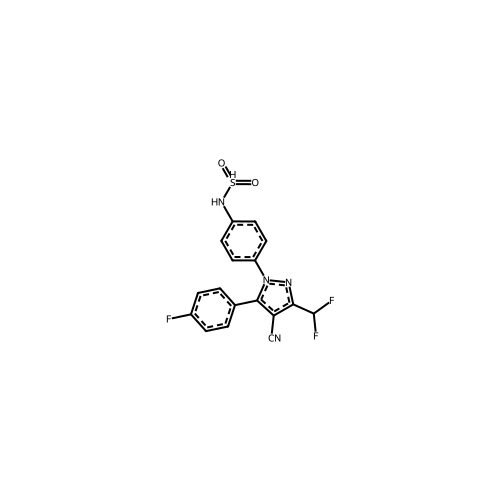 N#Cc1c(C(F)F)nn(-c2ccc(N[SH](=O)=O)cc2)c1-c1ccc(F)cc1